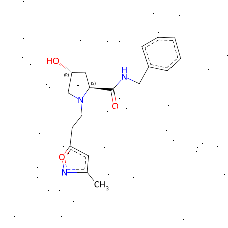 Cc1cc(CCN2C[C@H](O)C[C@H]2C(=O)NCc2ccccc2)on1